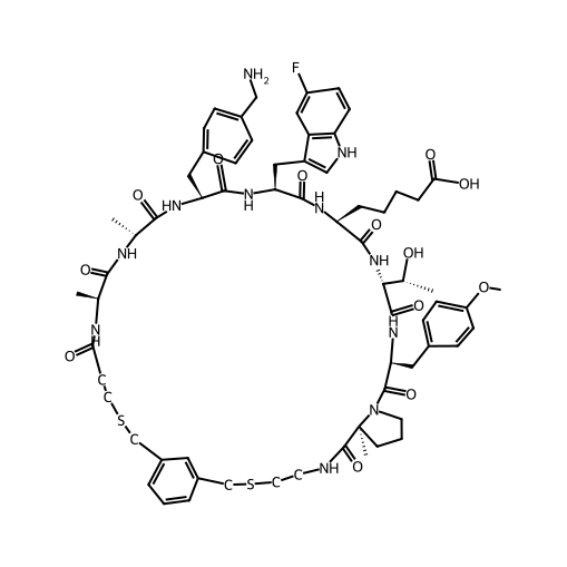 COc1ccc(C[C@@H]2NC(=O)[C@@H]([C@@H](C)O)NC(=O)[C@H](CCCCC(=O)O)NC(=O)[C@H](Cc3c[nH]c4ccc(F)cc34)NC(=O)[C@H](Cc3ccc(CN)cc3)NC(=O)[C@@H](C)NC(=O)[C@H](C)NC(=O)CCSCc3cccc(c3)CSCCNC(=O)[C@]3(C)CCCN3C2=O)cc1